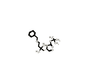 CC(C)(CCOCc1ccccc1)C[C@@H](C=O)NC(=O)OC(C)(C)C